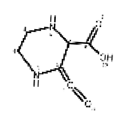 O=C=C1NCCNC1C(=O)O